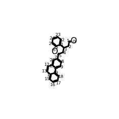 O=CCC(CC(=O)c1ccc2c(ccc3ccccc32)c1)c1ccccc1